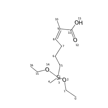 CCO[Si](C)([CH]CCC=C(C)C(=O)O)OCC